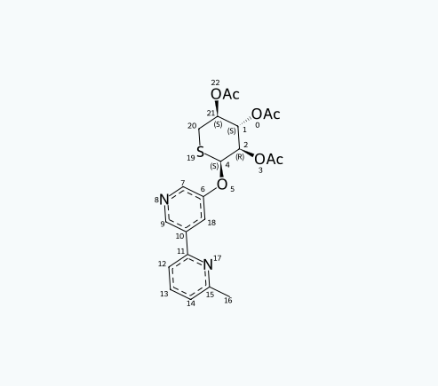 CC(=O)O[C@@H]1[C@@H](OC(C)=O)[C@@H](Oc2cncc(-c3cccc(C)n3)c2)SC[C@H]1OC(C)=O